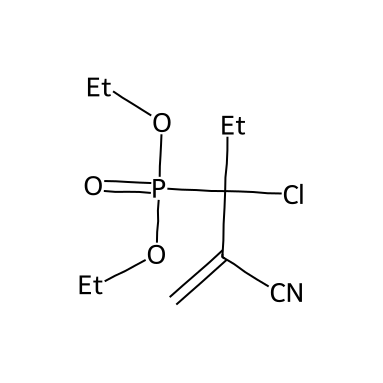 C=C(C#N)C(Cl)(CC)P(=O)(OCC)OCC